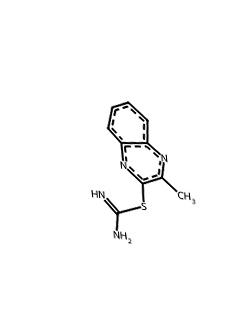 Cc1nc2ccccc2nc1SC(=N)N